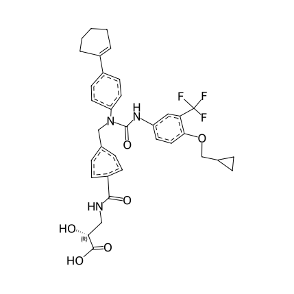 O=C(NC[C@@H](O)C(=O)O)c1ccc(CN(C(=O)Nc2ccc(OCC3CC3)c(C(F)(F)F)c2)c2ccc(C3=CCCCC3)cc2)cc1